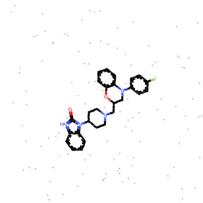 O=c1[nH]c2ccccc2n1C1CCN(CC2CN(c3ccc(F)cc3)c3ccccc3O2)CC1